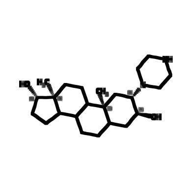 C[C@]12C[C@H](N3CCNCC3)[C@@H](O)CC1CCC1C2CC[C@@]2(C)C1CC[C@@H]2O